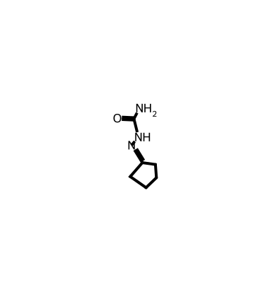 NC(=O)NN=C1CCCC1